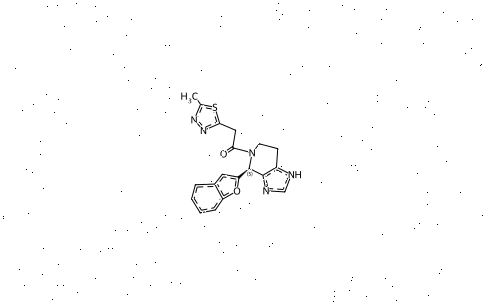 Cc1nnc(CC(=O)N2CCc3[nH]cnc3[C@H]2c2cc3ccccc3o2)s1